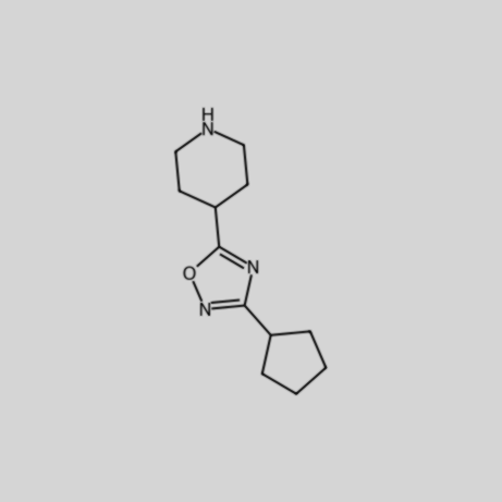 C1CCC(c2noc(C3CCNCC3)n2)C1